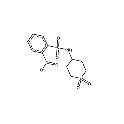 O=[N+]([O-])c1ccccc1S(=O)(=O)NC1CCS(=O)(=O)CC1